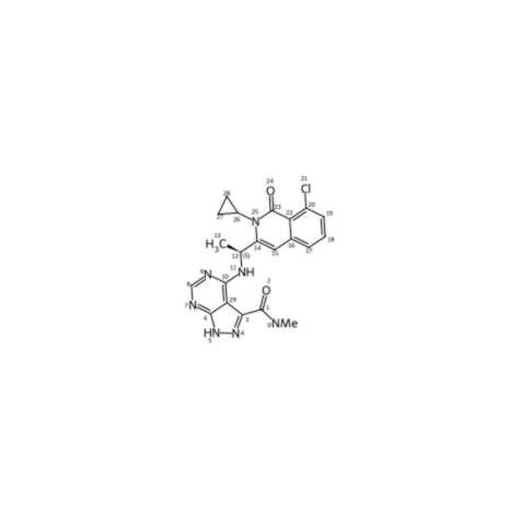 CNC(=O)c1n[nH]c2ncnc(N[C@@H](C)c3cc4cccc(Cl)c4c(=O)n3C3CC3)c12